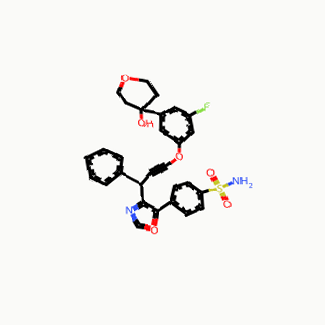 NS(=O)(=O)c1ccc(-c2ocnc2C(C#COc2cc(F)cc(C3(O)CCOCC3)c2)c2ccccc2)cc1